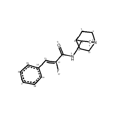 O=C(NC1CN2CCC1CC2)C(F)=Cc1ccccc1